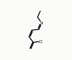 C=C(Cl)/C=C\C=N/CC